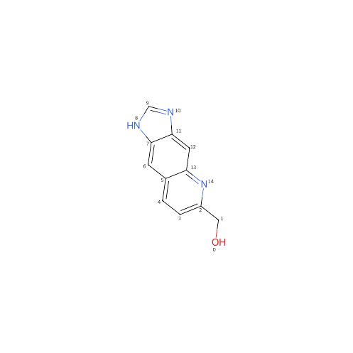 OCc1ccc2cc3[nH]cnc3cc2n1